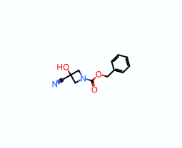 N#CC1(O)CN(C(=O)OCc2ccccc2)C1